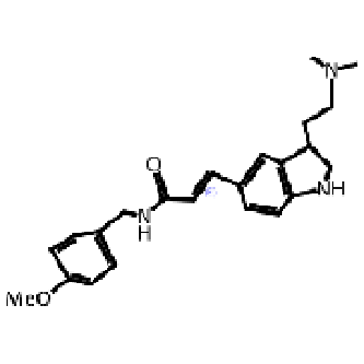 COc1ccc(CNC(=O)/C=C/c2ccc3c(c2)C(CCN(C)C)CN3)cc1